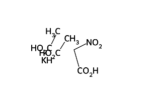 CC(=O)O.CC(=O)O.O=C(O)C[N+](=O)[O-].[KH]